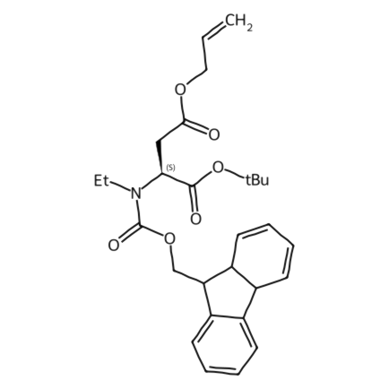 C=CCOC(=O)C[C@@H](C(=O)OC(C)(C)C)N(CC)C(=O)OCC1c2ccccc2C2C=CC=CC21